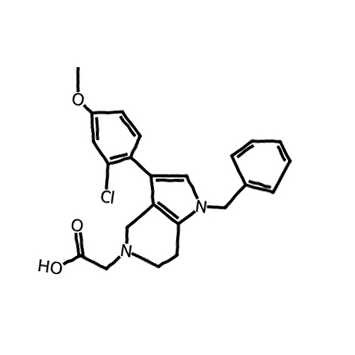 COc1ccc(-c2cn(Cc3ccccc3)c3c2CN(CC(=O)O)CC3)c(Cl)c1